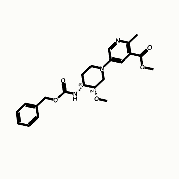 COC(=O)c1cc(N2CC[C@@H](NC(=O)OCc3ccccc3)[C@@H](OC)C2)cnc1C